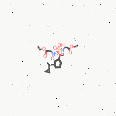 CCOC(=O)CNP(=O)(O)ON(CC(=O)OCC)Oc1c(C(C)C)cccc1C(C)C1CC1